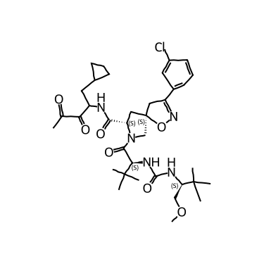 COC[C@@H](NC(=O)N[C@H](C(=O)N1C[C@@]2(CC(c3cccc(Cl)c3)=NO2)C[C@H]1C(=O)NC(CC1CCC1)C(=O)C(C)=O)C(C)(C)C)C(C)(C)C